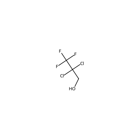 OCC(Cl)(Cl)C(F)(F)F